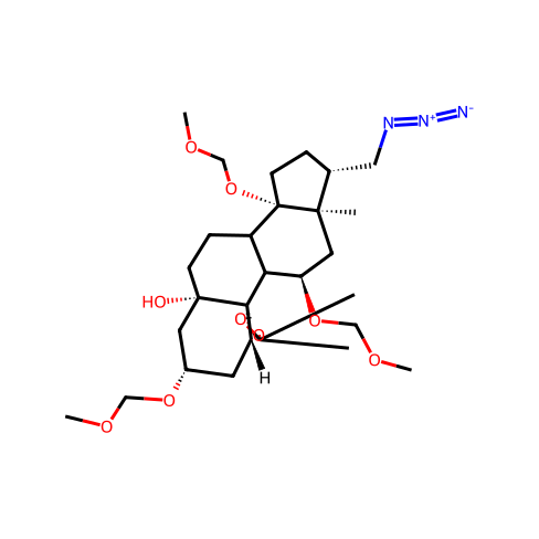 COCO[C@H]1C[C@H]2OC(C)(C)OC[C@]23C2C(CC[C@]3(O)C1)[C@@]1(OCOC)CC[C@H](CN=[N+]=[N-])[C@@]1(C)C[C@H]2OCOC